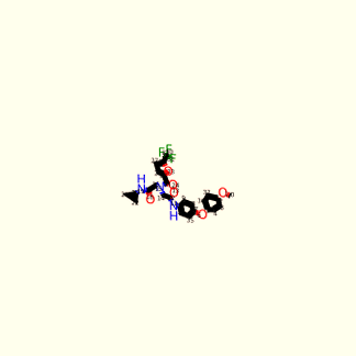 COc1ccc(Oc2ccc(NC(=O)CN(CC(=O)NC3CC3)C(=O)c3ccc(C(F)(F)F)o3)cc2)cc1